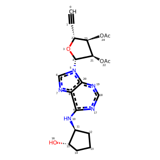 C#C[C@H]1O[C@@H](n2cnc3c(N[C@H]4CCC[C@@H]4O)ncnc32)[C@H](OC(C)=O)[C@@H]1OC(C)=O